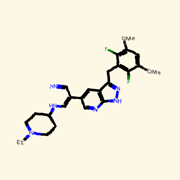 CCN1CCC(N/C=C(\C=N)c2cnc3[nH]nc(Cc4c(F)c(OC)cc(OC)c4F)c3c2)CC1